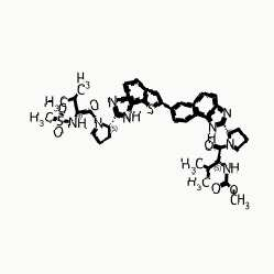 COC(=O)N[C@H](C(=O)N1CCC[C@H]1c1nc2ccc3cc(-c4cc5ccc6nc([C@@H]7CCCN7C(=O)[C@@H](NS(C)(=O)=O)C(C)C)[nH]c6c5s4)ccc3c2[nH]1)C(C)C